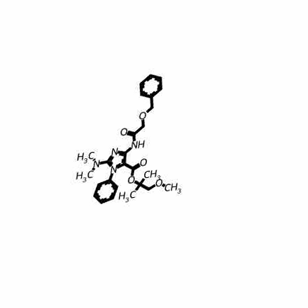 COCC(C)(C)OC(=O)c1c(NC(=O)COCc2ccccc2)nc(N(C)C)n1-c1ccccc1